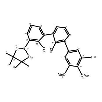 COc1nc(-c2cccc(-c3cccc(B4OC(C)(C)C(C)(C)O4)c3Cl)c2Cl)cc(F)c1OC